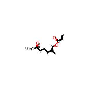 C=CC(=O)OCC(C)CCCC(=O)OC